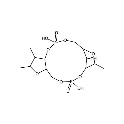 CC1OC2COP(=O)(O)OC3C(C)OC(COP(=O)(O)OC2C1C)C3O